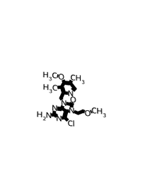 COCCn1c(=O)n(Cc2ncc(C)c(OC)c2C)c2nc(N)nc(Cl)c21